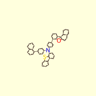 c1ccc2c(-c3ccc(N(c4ccc(-c5cccc6c5oc5ccc7ccccc7c56)cc4)c4cccc5c4sc4ccccc45)cc3)cccc2c1